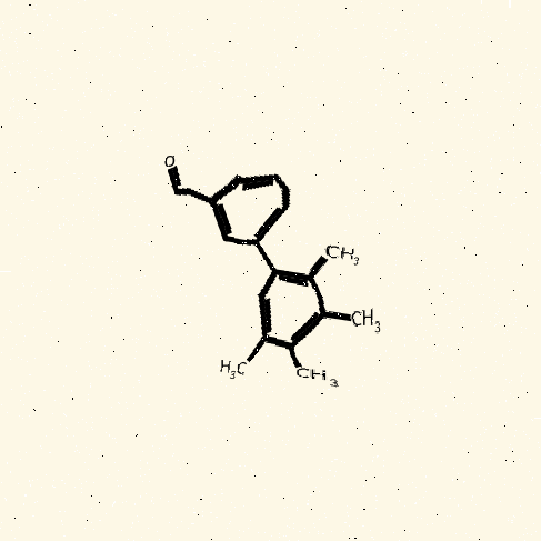 Cc1cc(-c2cccc(C=O)c2)c(C)c(C)c1C